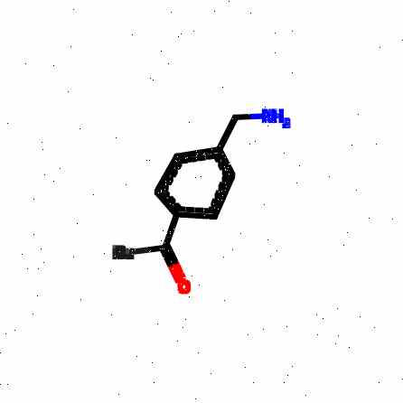 CCC(C)C(=O)c1ccc(CN)cc1